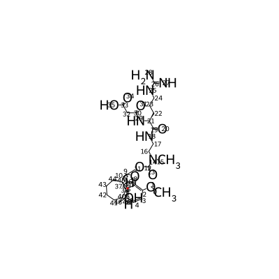 COc1ccc2c3c1O[C@H]1C(OC(=O)N(C)CCNC(=O)[C@H](CCCNC(=N)N)NC(=O)CC(=O)O)=CC[C@@]4(O)[C@H](CCCC[C@]314)C2